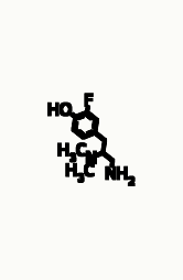 CN(C)C(CN)Cc1ccc(O)c(F)c1